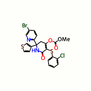 COC(=O)OC1=C(Sc2ccccc2Cl)C(=O)NC(c2ccsc2)(c2ccc(Br)cn2)C1